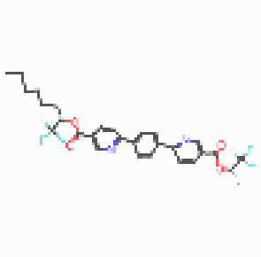 CCCCCC[C@H](OC(=O)c1ccc(-c2ccc(-c3ccc(C(=O)O[C@@H](C)C(F)(F)F)cn3)cc2)nc1)C(F)(F)F